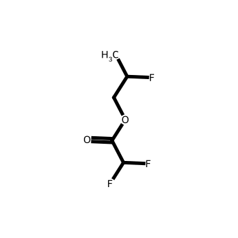 CC(F)COC(=O)C(F)F